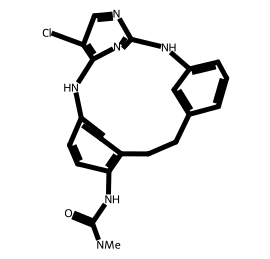 CNC(=O)Nc1ccc2cc1CCc1cccc(c1)Nc1ncc(Cl)c(n1)N2